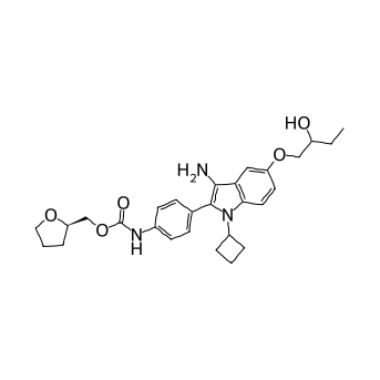 CCC(O)COc1ccc2c(c1)c(N)c(-c1ccc(NC(=O)OC[C@H]3CCCO3)cc1)n2C1CCC1